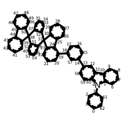 c1ccc(-n2c3ccccc3c3cc(-c4cccc(-c5cccc6c5-c5ccccc5C65c6ccccc6C6(c7ccccc7-c7ccccc76)c6ccccc65)c4)ccc32)cc1